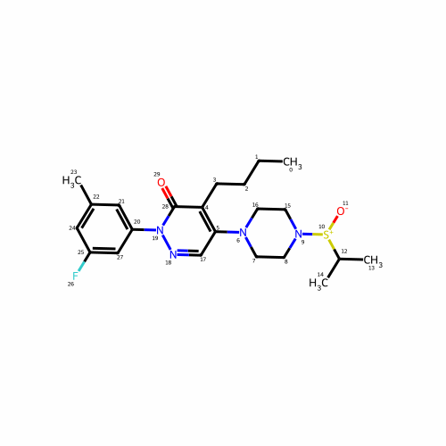 CCCCc1c(N2CCN([S+]([O-])C(C)C)CC2)cnn(-c2cc(C)cc(F)c2)c1=O